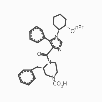 CCCO[C@H]1CCCC[C@@H]1n1cnc(C(=O)N2CCN(C(=O)O)C[C@H]2Cc2ccccc2)c1-c1ccccc1